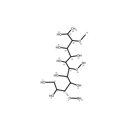 BO[C@H](C(O)CO)C(O)C(O)C(OS)C(O)C(O)C(O)C(OI)C(C)O